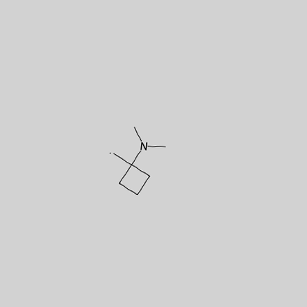 [CH2]C1(N(C)C)CCC1